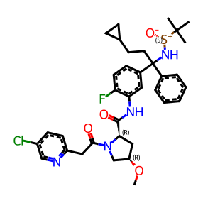 CO[C@@H]1C[C@H](C(=O)Nc2cc(C(CCC3CC3)(N[S@+]([O-])C(C)(C)C)c3ccccc3)ccc2F)N(C(=O)Cc2ccc(Cl)cn2)C1